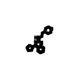 c1ccc2c(N3CCCC3)nc(NCCN3CCOCC3)nc2c1